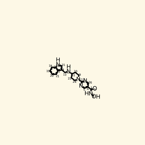 O=C(NO)c1cnc(N2CCC(NCc3c[nH]c4ccccc34)CC2)nc1